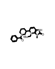 Cn1c2c([nH]c1=O)C=CC(C1CCCN(C(=O)c3ccccc3)C1)N2CC(C)(C)C